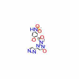 COc1ccc(NS(C)(=O)=O)cc1[C@H]1CN(c2nc(-c3ccncn3)cc(=O)n2C)CCO1